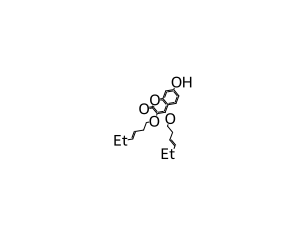 CCC=CCCOc1c(OCCC=CCC)c2ccc(O)cc2oc1=O